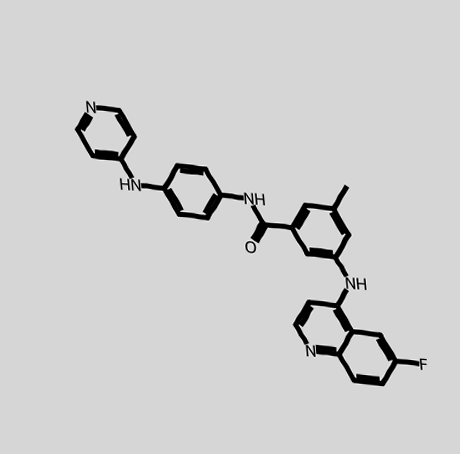 Cc1cc(Nc2ccnc3ccc(F)cc23)cc(C(=O)Nc2ccc(Nc3ccncc3)cc2)c1